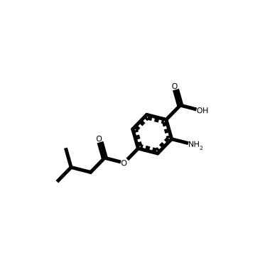 CC(C)CC(=O)Oc1ccc(C(=O)O)c(N)c1